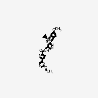 CCOc1cncc(-c2ccc(C(=O)NCc3cnnc(N(Cc4ccc(OC)cc4)S(=O)(=O)C4CC4)c3)nc2)n1